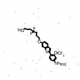 CCCCCc1ccc(-c2cc3ccc(OCCCC(F)(F)CCCO)cc3s2)c(OC(F)(F)F)c1